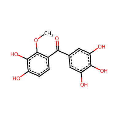 COc1c(C(=O)c2cc(O)c(O)c(O)c2)ccc(O)c1O